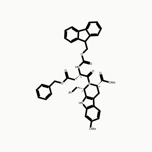 COC(=O)[C@@H]1Cc2c([nH]c3cc(OC)ccc23)[C@H](CC(C)C)N1C(=O)[C@H](CC(=O)OCc1ccccc1)NC(=O)OCC1c2ccccc2-c2ccccc21